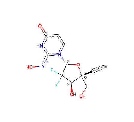 C#C[C@]1(CO)O[C@@H](n2ccc(=O)[nH]/c2=N\O)C(F)(F)[C@@H]1O